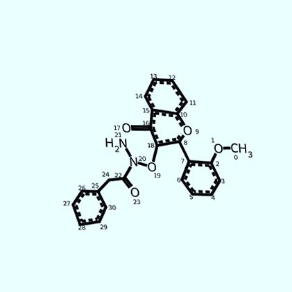 COc1ccccc1-c1oc2ccccc2c(=O)c1ON(N)C(=O)Cc1ccccc1